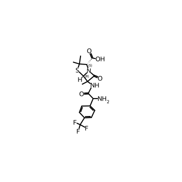 CC1(C)S[C@H]2N(C(=O)C2(C)NC(=O)C(N)c2ccc(C(F)(F)F)cc2)[C@H]1C(=O)O